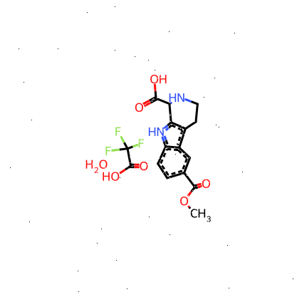 COC(=O)c1ccc2[nH]c3c(c2c1)CCNC3C(=O)O.O.O=C(O)C(F)(F)F